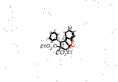 CCOC(=O)C1(C(=O)OCC)Cc2oc3ccc(Cl)cc3c2C1c1ccccc1